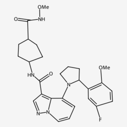 CONC(=O)C1CCC(NC(=O)c2cnn3cccc(N4CCCC4c4cc(F)ccc4OC)c23)CC1